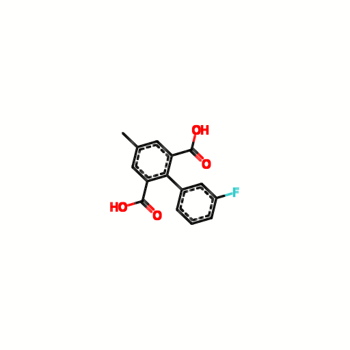 Cc1cc(C(=O)O)c(-c2cccc(F)c2)c(C(=O)O)c1